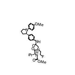 COC(=O)N[C@H](C(=O)N(CCF)CC(=O)Nc1ccc([C@H]2CCCN2c2ccc(OC)cc2)cc1)C(C)C